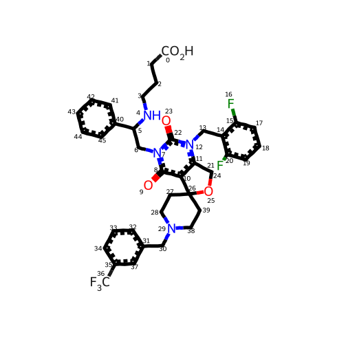 O=C(O)CCCNC(Cn1c(=O)c2c(n(Cc3c(F)cccc3F)c1=O)COC21CCN(Cc2cccc(C(F)(F)F)c2)CC1)c1ccccc1